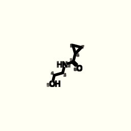 O=C(NCCO)C1CC1